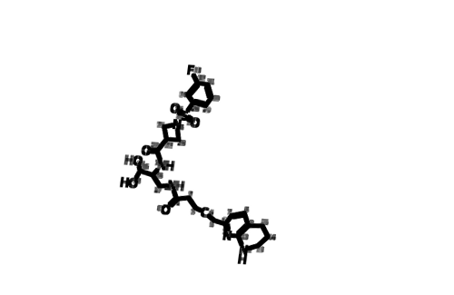 O=C(CCCCc1ccc2c(n1)NCCC2)NCC(NC(=O)C1CN(S(=O)(=O)c2cccc(F)c2)C1)C(O)O